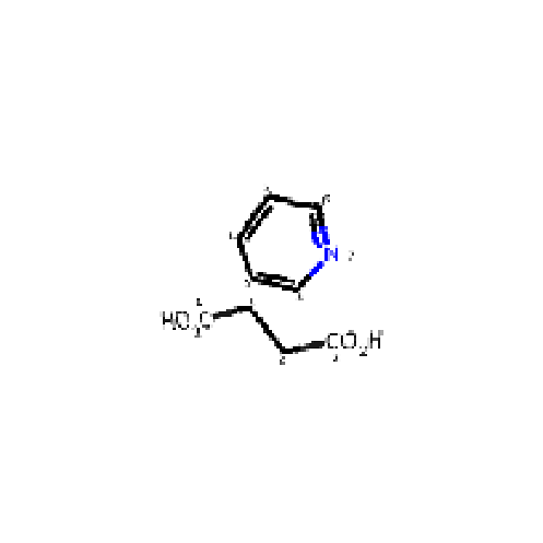 O=C(O)CCC(=O)O.c1ccncc1